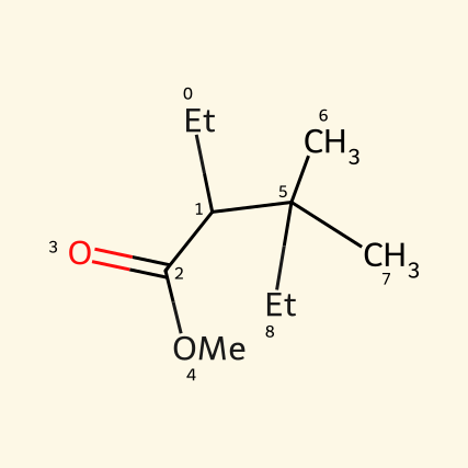 CCC(C(=O)OC)C(C)(C)CC